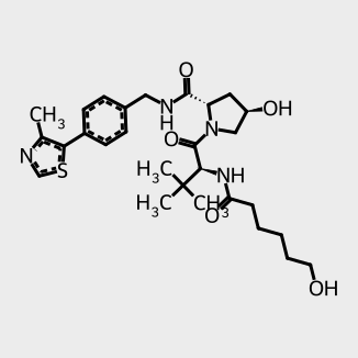 Cc1ncsc1-c1ccc(CNC(=O)[C@@H]2C[C@@H](O)CN2C(=O)[C@@H](NC(=O)CCCCCO)C(C)(C)C)cc1